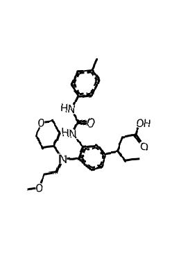 CCC(CC(=O)O)c1ccc(N(CCOC)C2CCOCC2)c(NC(=O)Nc2ccc(C)cc2)c1